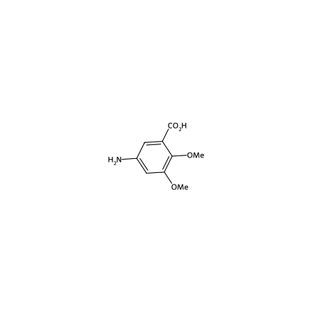 COc1cc(N)cc(C(=O)O)c1OC